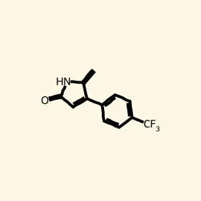 C=C1NC(=O)C=C1c1ccc(C(F)(F)F)cc1